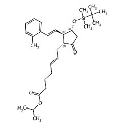 Cc1ccccc1C=C[C@H]1[C@H](O[Si](C)(C)C(C)(C)C)CC(=O)[C@@H]1CC=CCCCC(=O)OC(C)C